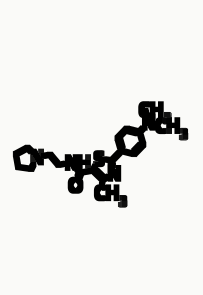 Cc1nc(-c2ccc(N(C)C)cc2)sc1C(=O)NCCN1CCCC1